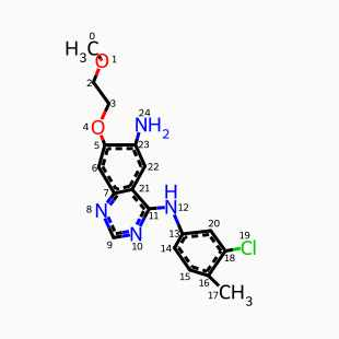 COCCOc1cc2ncnc(Nc3ccc(C)c(Cl)c3)c2cc1N